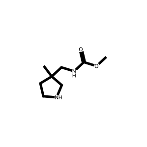 COC(=O)NCC1(C)CCNC1